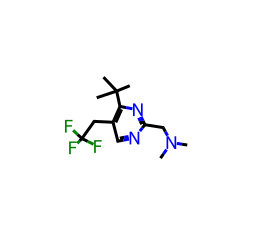 CN(C)Cc1ncc(CC(F)(F)F)c(C(C)(C)C)n1